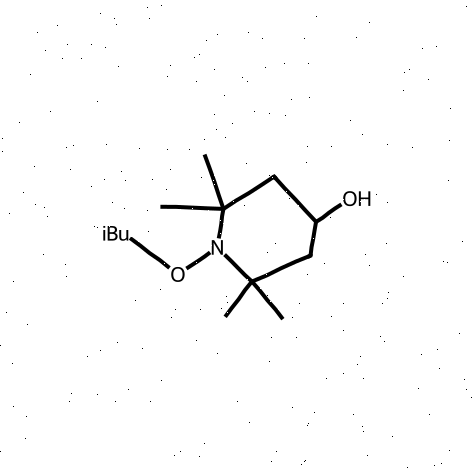 CCC(C)ON1C(C)(C)CC(O)CC1(C)C